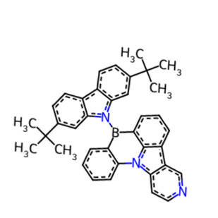 CC(C)(C)c1ccc2c3ccc(C(C)(C)C)cc3n(B3c4ccccc4-n4c5ccncc5c5cccc3c54)c2c1